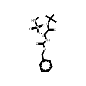 CNS(=O)(=O)C[C@@H](NC(=O)OCc1ccccc1)C(=O)OC(C)(C)C